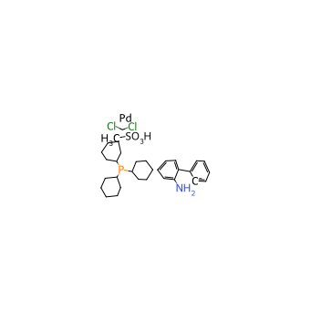 C1CCC(P(C2CCCCC2)C2CCCCC2)CC1.CS(=O)(=O)O.ClCCl.Nc1ccccc1-c1[c-]cccc1.[Pd]